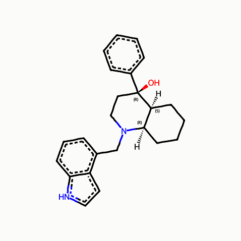 O[C@]1(c2ccccc2)CCN(Cc2cccc3[nH]ccc23)[C@@H]2CCCC[C@@H]21